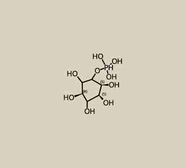 OC1C(O[PH](O)(O)O)[C@@H](O)[C@@H](O)C(O)[C@H]1O